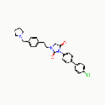 O=C1CN(CCc2ccc(CN3CCCC3)cc2)C(=O)N1c1ccc(-c2ccc(Cl)cc2)cc1